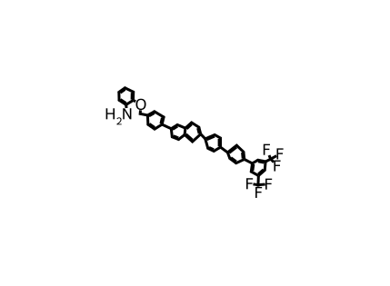 Nc1ccccc1OCc1ccc(-c2ccc3cc(-c4ccc(-c5ccc(-c6cc(C(F)(F)F)cc(C(F)(F)F)c6)cc5)cc4)ccc3c2)cc1